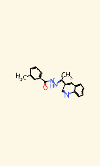 CC(=NNC(=O)c1cccc(C)c1)c1cnc2ccccc2c1